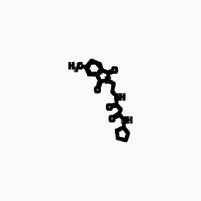 Cc1ccc2c(c1)C(=O)N(CCNC(=O)CC(=O)NC1CCCC1)C2=O